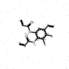 C=CC(=O)Oc1cc(C=C)c(C)c(C)c1OC(=O)C=C